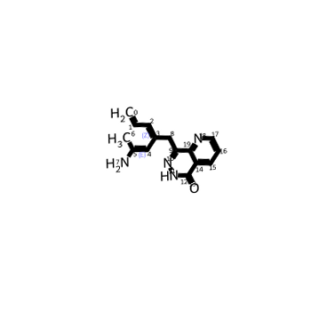 C=C/C=C(\C=C(/C)N)Cc1n[nH]c(=O)c2cccnc12